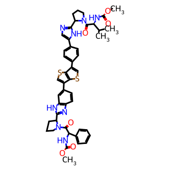 COC(=O)NC(C(=O)N1CCCC1c1nc2ccc(-c3csc4c(-c5ccc(-c6cnc(C7CCCN7C(=O)[C@@H](NC(=O)OC)C(C)C)[nH]6)cc5)csc34)cc2[nH]1)c1ccccc1